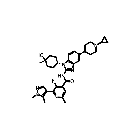 Cc1cc(C(=O)Nc2nc3cc(C4CCN(C5CC5)CC4)ccc3n2[C@H]2CC[C@@](C)(O)CC2)c(F)c(-c2cnn(C)c2C)n1